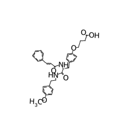 COc1ccc(CCNC(=O)[C@H](Cc2ccc(OCCCC(=O)O)cc2)NC(=O)C=Cc2ccccc2)cc1